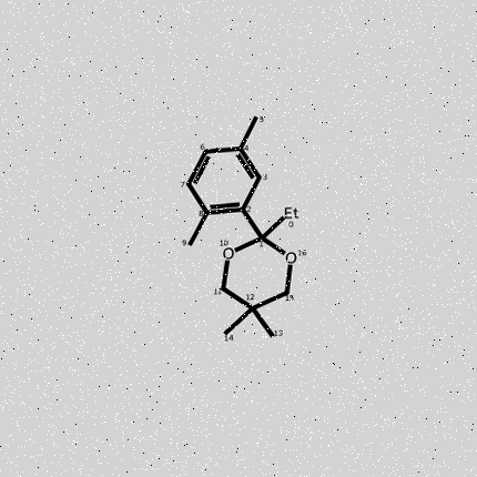 CCC1(c2cc(C)ccc2C)OCC(C)(C)CO1